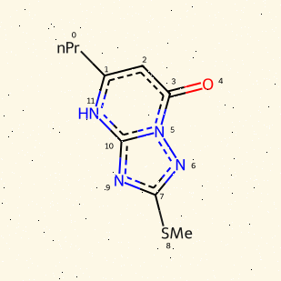 CCCc1cc(=O)n2nc(SC)nc2[nH]1